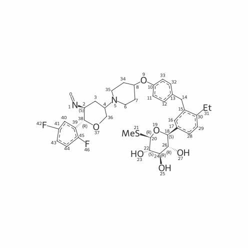 C=N[C@H]1CC(N2CCC(Oc3ccc(Cc4cc([C@@H]5O[C@H](SC)[C@@H](O)[C@H](O)[C@H]5O)ccc4CC)cc3)CC2)CO[C@@H]1c1cc(F)ccc1F